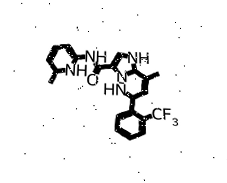 CC1=CC(c2ccccc2C(F)(F)F)NN2C(C(=O)NC3=CC=CC(C)N3)=CNC12